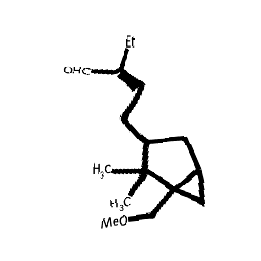 CCC(C=O)=CCC1CC2CC2(COC)C1(C)C